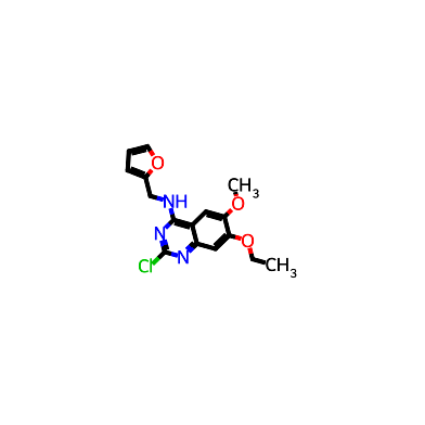 CCOc1cc2nc(Cl)nc(NCc3ccco3)c2cc1OC